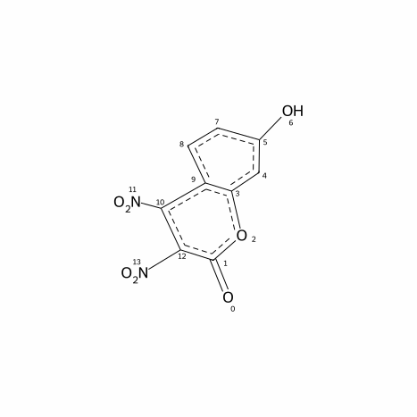 O=c1oc2cc(O)ccc2c([N+](=O)[O-])c1[N+](=O)[O-]